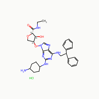 CCNC(=O)[C@H]1OC[C@H](On2cnc3c(NCC(c4ccccc4)c4ccccc4)nc(NC4CCC(N)CC4)nc32)[C@@H]1O.Cl